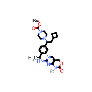 CCN1C(=O)OCc2cnc(N[C@@H](C)c3ccc(C(CC4CCC4)N4CCN(C(=O)OC(C)(C)C)CC4)cc3)nc21